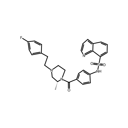 C[C@@H]1CN(CCc2ccc(F)cc2)CCN1C(=O)c1ccc(NS(=O)(=O)c2cccc3cccnc23)cc1